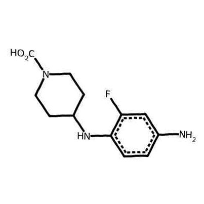 Nc1ccc(NC2CCN(C(=O)O)CC2)c(F)c1